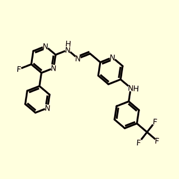 Fc1cnc(N/N=C/c2ccc(Nc3cccc(C(F)(F)F)c3)cn2)nc1-c1cccnc1